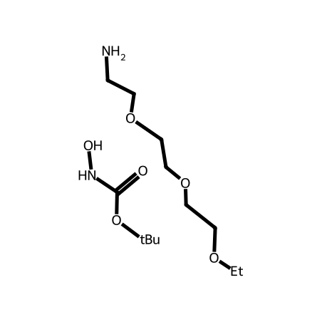 CC(C)(C)OC(=O)NO.CCOCCOCCOCCN